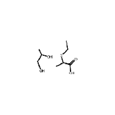 CC(O)CO.CCOC(C)C(=O)O